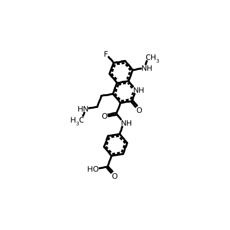 CNCCc1c(C(=O)Nc2ccc(C(=O)O)cc2)c(=O)[nH]c2c(NC)cc(F)cc12